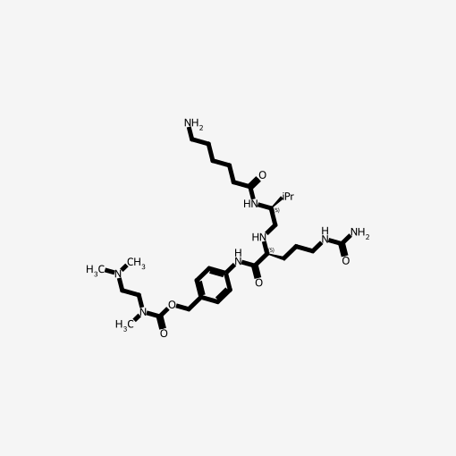 CC(C)[C@@H](CN[C@@H](CCCNC(N)=O)C(=O)Nc1ccc(COC(=O)N(C)CCN(C)C)cc1)NC(=O)CCCCCN